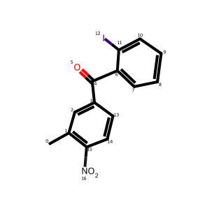 Cc1cc(C(=O)c2ccccc2I)ccc1[N+](=O)[O-]